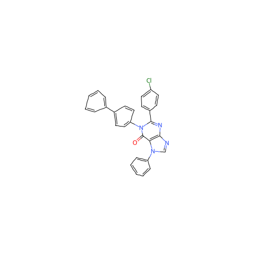 O=c1c2c(ncn2-c2ccccc2)nc(-c2ccc(Cl)cc2)n1-c1ccc(-c2ccccc2)cc1